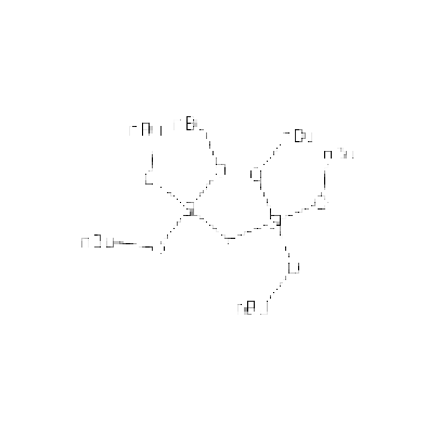 CCCCO[Si]([CH][Si](OCCCC)(OCCCC)OCCCC)(OCCCC)OCCCC